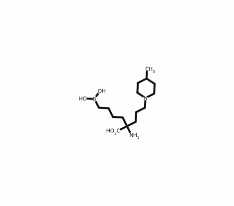 CC1CCN(CCCC(N)(CCCCB(O)O)C(=O)O)CC1